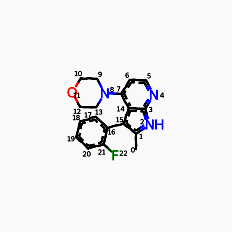 Cc1[nH]c2nccc(N3CCOCC3)c2c1-c1ccccc1F